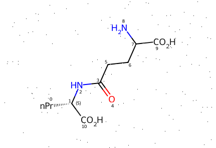 CCC[C@H](NC(=O)CCC(N)C(=O)O)C(=O)O